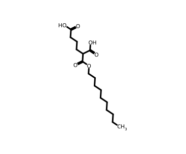 CCCCCCCCCCOC(=O)C(CCCC(=O)O)C(=O)O